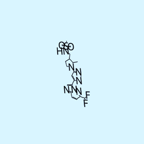 CC1C(CNS(C)(=O)=O)CCN1c1cc(-c2cnc3ccc(C(F)F)nn23)ncn1